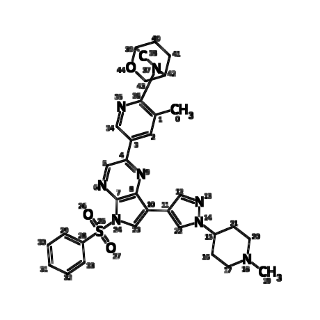 Cc1cc(-c2cnc3c(n2)c(-c2cnn(C4CCN(C)CC4)c2)cn3S(=O)(=O)c2ccccc2)cnc1N1CC2CCC1CO2